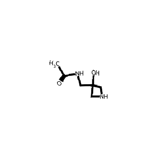 CC(=O)NCC1(O)CNC1